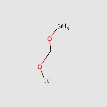 CCOCO[SiH3]